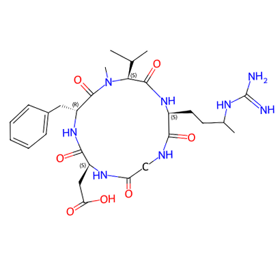 CC(CC[C@@H]1NC(=O)[C@H](C(C)C)N(C)C(=O)[C@@H](Cc2ccccc2)NC(=O)[C@H](CC(=O)O)NC(=O)CNC1=O)NC(=N)N